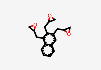 c1ccc2c(CC3CO3)c(CC3CO3)c(CC3CO3)cc2c1